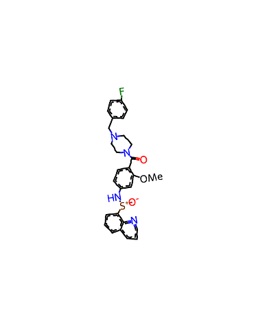 COc1cc(N[S+]([O-])c2cccc3cccnc23)ccc1C(=O)N1CCN(Cc2ccc(F)cc2)CC1